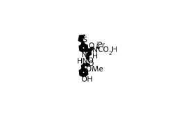 COC(=O)C(Cc1ccc(O)cc1)NC(=O)c1cc(C(=O)N[C@H](C(=O)O)C(C)C)c2cc(-c3cccs3)ccc2n1